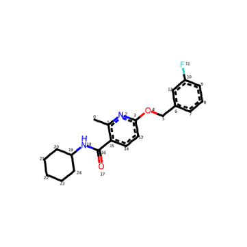 Cc1nc(OCc2cccc(F)c2)ccc1C(=O)NC1CCCCC1